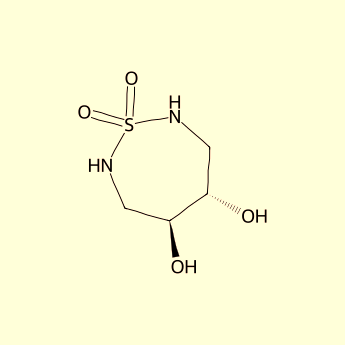 O=S1(=O)NC[C@H](O)[C@@H](O)CN1